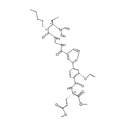 CCCCC[C@@H](C(=O)NCNC(=O)c1cccc(-c2ccc(C(=O)N[C@@H](CCC(=O)OC)C(=O)OC)c(OCC)c2)n1)[C@@H](CC)N(O)C=O